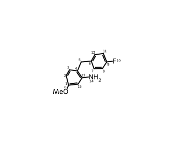 COc1ccc(Cc2ccc(F)cc2)c(N)c1